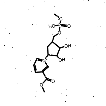 COC(=O)c1ccc[n+](C2CC(COP(=O)(O)OC)C(O)C2O)c1